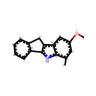 COc1cc(C)c2[nH]c3c(c2c1)Cc1ccccc1-3